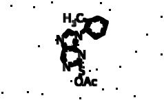 CC(=O)OSc1ncc2ncn(-c3ccccc3C)c2n1